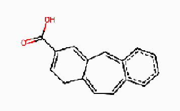 O=C(O)C1=CCC2=CC=c3ccccc3=CC2=C1